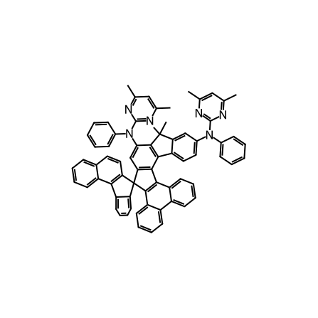 Cc1cc(C)nc(N(c2ccccc2)c2ccc3c(c2)C(C)(C)c2c(N(c4ccccc4)c4nc(C)cc(C)n4)cc4c(c2-3)-c2c(c3ccccc3c3ccccc23)C42c3ccccc3-c3c2ccc2ccccc32)n1